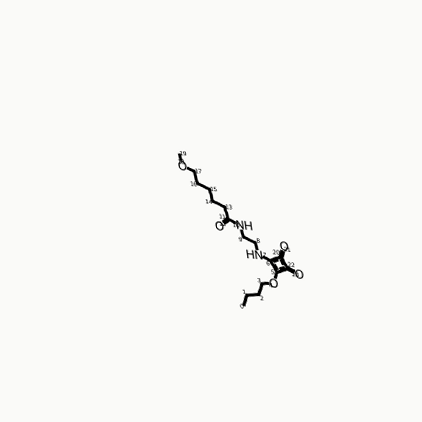 CCCCOc1c(NCCNC(=O)CCCCCOC)c(=O)c1=O